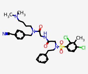 Cc1c(Cl)ccc(S(=O)(=O)N(CCc2ccccc2)CC(=O)NCC(=O)N(CCCCN(C)C)Cc2ccc(C#N)cc2)c1Cl